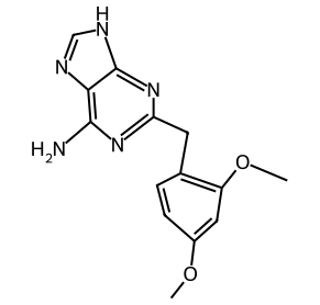 COc1ccc(Cc2nc(N)c3nc[nH]c3n2)c(OC)c1